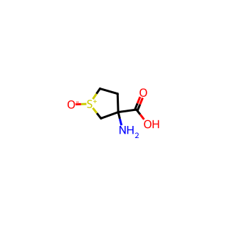 NC1(C(=O)O)CC[S+]([O-])C1